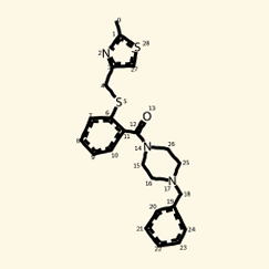 Cc1nc(CSc2ccccc2C(=O)N2CCN(Cc3ccccc3)CC2)cs1